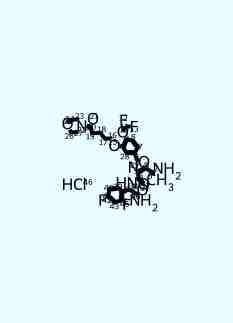 C[C@H](N)c1oc(-c2ccc(OC(F)F)c(OCCCCC(=O)N3CCOCC3)c2)nc1C(=O)NC(C(N)=O)c1ccc(F)cc1F.Cl